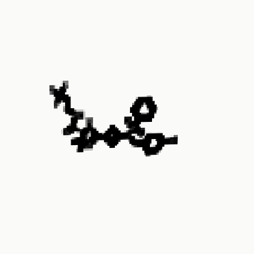 CC1(C)N=C(C23CC(N(Cc4ccc(Cl)cc4)S(=O)(=O)c4ccccc4)(C2)C3)N[C@H]1C(=O)NCCC(F)(F)F